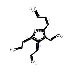 C=C/C=C\c1oc(=C/C=C)/c(=C\C=C)c1C=C